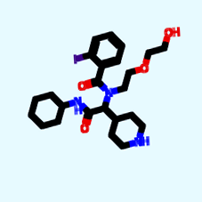 O=C(NC1CCCCC1)C(C1CCNCC1)N(CCOCCO)C(=O)c1ccccc1I